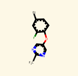 [CH2]Cc1ccc(Oc2cnc(C(F)(F)F)nc2)c(F)c1